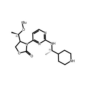 C[C@H](Nc1nccc(N2C(=O)OCC2[C@@H](C)OC(C)(C)C)n1)C1CCNCC1